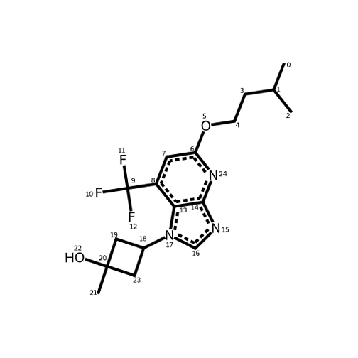 CC(C)CCOc1cc(C(F)(F)F)c2c(ncn2C2CC(C)(O)C2)n1